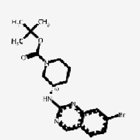 CC(C)(C)OC(=O)N1CCC[C@H](Nc2ncc3ccc(Br)cc3n2)C1